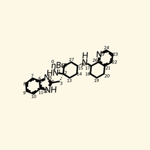 CCCCN[C@]1(Cc2nc3ccccc3[nH]2)CC[C@@H](NC2CCCc3cccnc32)CC1